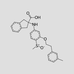 Cc1cccc(CCOc2cc(NC3(C(=O)O)Cc4ccccc4C3)ccc2[S+](C)[O-])c1